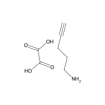 C#CCCCN.O=C(O)C(=O)O